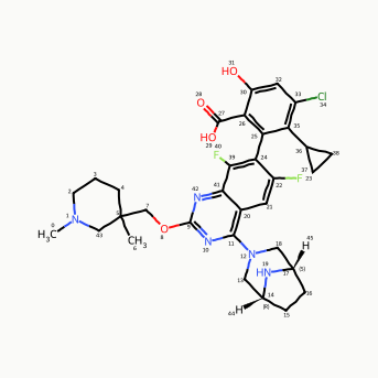 CN1CCCC(C)(COc2nc(N3C[C@H]4CC[C@@H](C3)N4)c3cc(F)c(-c4c(C(=O)O)c(O)cc(Cl)c4C4CC4)c(F)c3n2)C1